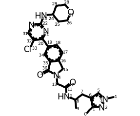 Cc1nn(C)cc1CC(C)NC(=O)CN1Cc2ccc(-c3nc(NC4CCOCC4)ncc3Cl)cc2C1=O